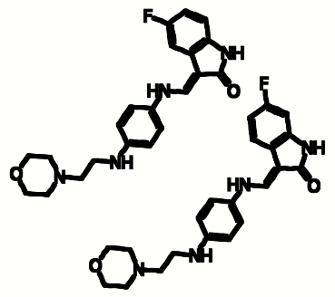 O=C1Nc2cc(F)ccc2/C1=C\Nc1ccc(NCCN2CCOCC2)cc1.O=C1Nc2ccc(F)cc2/C1=C\Nc1ccc(NCCN2CCOCC2)cc1